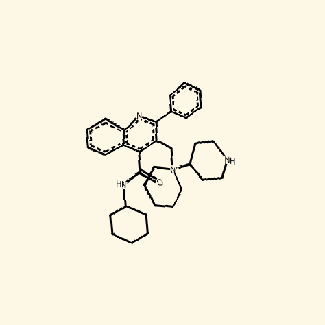 O=C(NC1CCCCC1)c1c(C[N+]2(C3CCNCC3)CCCCC2)c(-c2ccccc2)nc2ccccc12